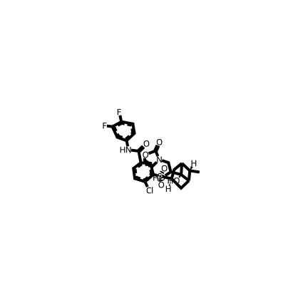 C[C@H]1C2C[C@H](S(=O)(=O)c3cc(C(=O)Nc4ccc(F)c(F)c4)ccc3Cl)CC1[C@@]2(O)C(O)CN1CCOC1=O